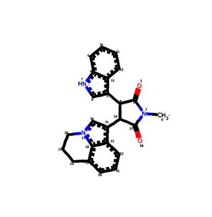 [CH2]N1C(=O)C(c2c[nH]c3ccccc23)C(c2cn3c4c(cccc24)CCC3)C1=O